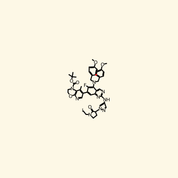 COc1ccc(CN(Cc2ccc(OC)cc2)c2c(F)c(-c3cnc4c(c3C)N(C(=O)OC(C)(C)C)CCO4)cc3nc(Nc4cnn(C5CCN(CI)C5=O)c4)ncc23)cc1